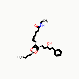 CCCCB1OC2CC(O1)[C@H](CC[C@@H](O)CCc1ccccc1)[C@H]2C/C=C\CCCC(=O)NCC